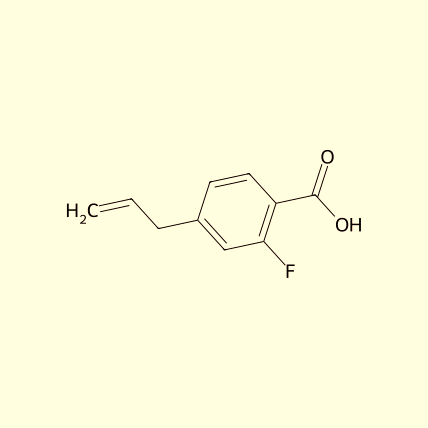 C=CCc1ccc(C(=O)O)c(F)c1